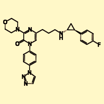 O=c1c(N2CCOCC2)nc(CCCN[C@@H]2C[C@H]2c2ccc(F)cc2)cn1-c1ccc(-n2ccnn2)cc1